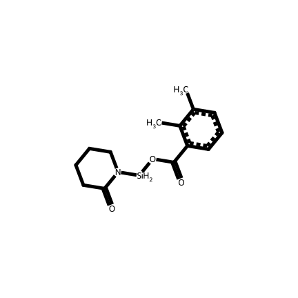 Cc1cccc(C(=O)O[SiH2]N2CCCCC2=O)c1C